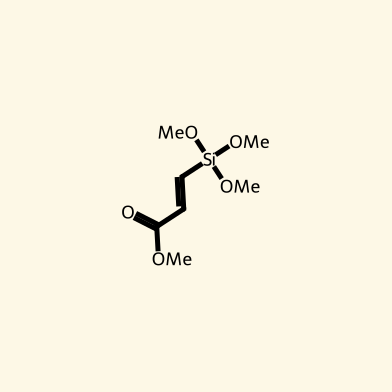 COC(=O)C=C[Si](OC)(OC)OC